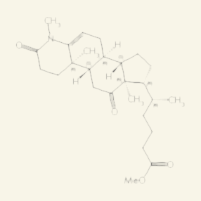 COC(=O)CCC[C@@H](C)[C@H]1CC[C@H]2[C@@H]3CC=C4N(C)C(=O)CC[C@]4(C)[C@H]3CC(=O)[C@]12C